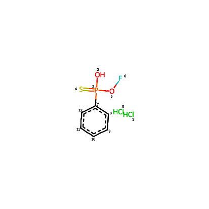 Cl.Cl.OP(=S)(OF)c1ccccc1